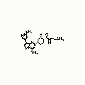 CCCNC(=O)[C@@H]1CC[C@H](c2cc(N)n3ncc(-c4cnn(C)c4)c3n2)CN1